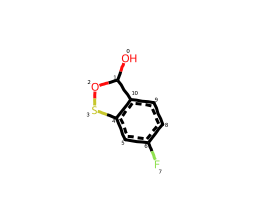 OC1OSc2cc(F)ccc21